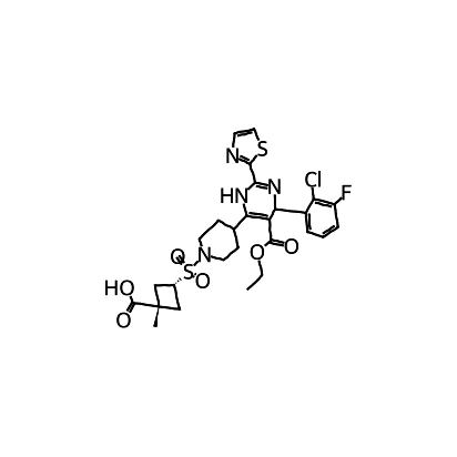 CCOC(=O)C1=C(C2CCN(S(=O)(=O)[C@H]3C[C@@](C)(C(=O)O)C3)CC2)NC(c2nccs2)=NC1c1cccc(F)c1Cl